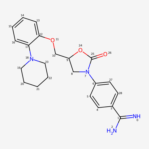 N=C(N)c1ccc(N2CC(COc3ccccc3N3CCCCC3)OC2=O)cc1